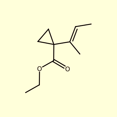 CC=C(C)C1(C(=O)OCC)CC1